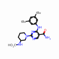 CC(C)(C)c1cc(Nc2nc(N3CCCC(NC(=O)O)C3)ncc2C(N)=O)cc(C(C)(C)C)c1